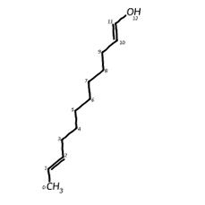 CC=CCCCCCCCC=CO